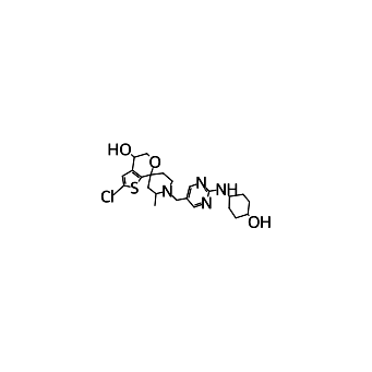 CC1CC2(CCN1Cc1cnc(NC3CCC(O)CC3)nc1)OCC(O)c1cc(Cl)sc12